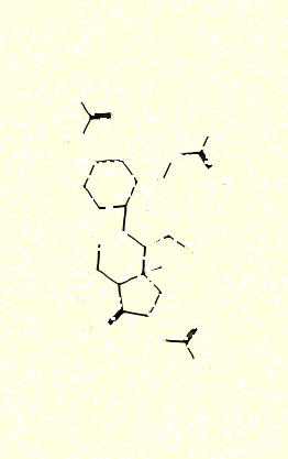 C=C1[C@@H](OC(C)=O)C[C@H]2[C@H](CN)[C@@H]([C@@]3(C)CC[C@H](OC(C)=O)C[C@@H]3COC(C)=O)CC[C@]12C